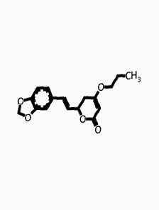 CCCOC1=CC(=O)OC(C=Cc2ccc3c(c2)OCO3)C1